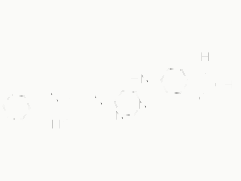 CC(C)(C)c1ccc(Nc2cc(N3CCC(N4CCc5ccccc5C4)C(O)C3)ncn2)cc1